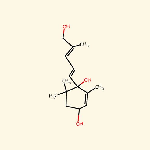 CC1=CC(O)CC(C)(C)C1(O)/C=C/C=C(\C)CO